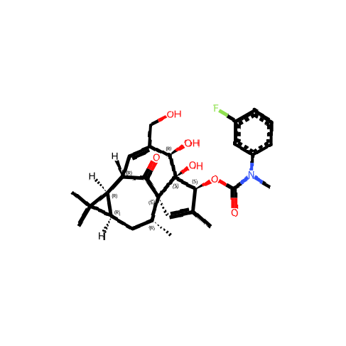 CC1=C[C@]23C(=O)[C@@H](C=C(CO)[C@@H](O)[C@]2(O)[C@H]1OC(=O)N(C)c1cccc(F)c1)[C@H]1[C@@H](C[C@H]3C)C1(C)C